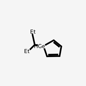 CC[CH](CC)[GeH]1[CH]=CC=[CH]1